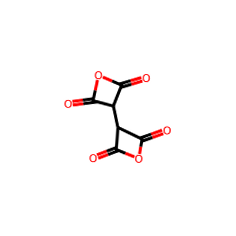 O=C1OC(=O)C1C1C(=O)OC1=O